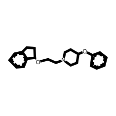 c1ccc(OC2CCN(CCO[C@H]3CCc4ccccc43)CC2)cc1